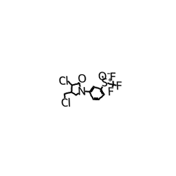 O=C1C(Cl)C(CCl)CN1c1cccc([S+]([O-])C(F)(F)F)c1